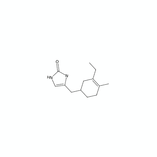 CCC1=C(C)CCC(CC2=CNC(=O)[N]2)C1